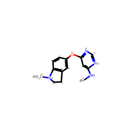 CC(C)Nc1cc(Oc2ccc3c(c2)CCN3C(=O)O)ncn1